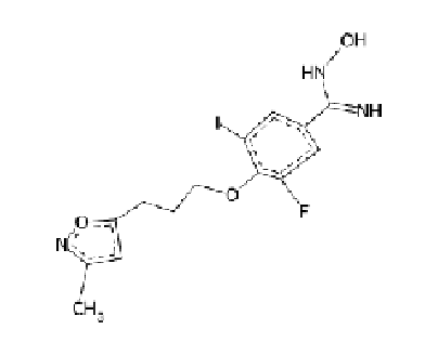 Cc1cc(CCCOc2c(F)cc(C(=N)NO)cc2I)on1